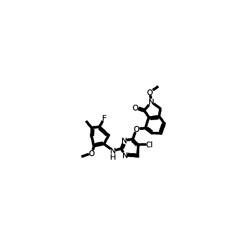 COc1cc(C)c(F)cc1Nc1ncc(Cl)c(Oc2cccc3c2C(=O)N(OC)C3)n1